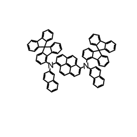 c1ccc2c(c1)-c1ccccc1C21c2ccccc2-c2c(N(c3ccc4ccccc4c3)c3ccc4ccc5c(N(c6ccc7ccccc7c6)c6cccc7c6-c6ccccc6C76c7ccccc7-c7ccccc76)ccc6ccc3c4c65)cccc21